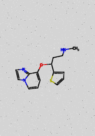 CNCCC(Oc1cccn2ccnc12)c1cccs1